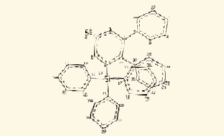 [Si].c1ccc(-c2cccc([Si](c3ccccc3)(c3ccccc3)c3ccccc3)c2-c2ccccc2)cc1